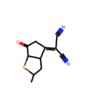 CC1CC2C(=C(C#N)C#N)CC(=O)C2S1